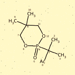 CC(=O)C(C)(C)P1(=O)OCC(C)(C)CO1